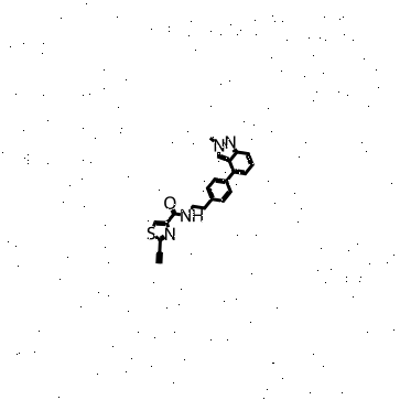 C#Cc1nc(C(=O)NCCc2ccc(-c3cccc4nn(C)cc34)cc2)cs1